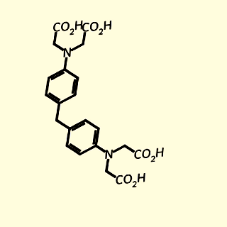 O=C(O)CN(CC(=O)O)c1ccc(Cc2ccc(N(CC(=O)O)CC(=O)O)cc2)cc1